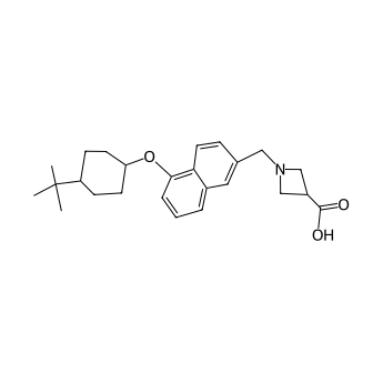 CC(C)(C)C1CCC(Oc2cccc3cc(CN4CC(C(=O)O)C4)ccc23)CC1